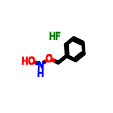 F.ONOCc1ccccc1